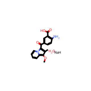 COc1c(C)c(C(=O)c2ccc(N)c(C(=O)O)c2)n2ccccc12.O.[NaH]